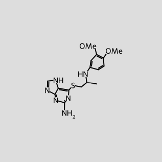 COc1ccc(N[C@@H](C)CSc2nc(N)nc3nc[nH]c23)cc1OC